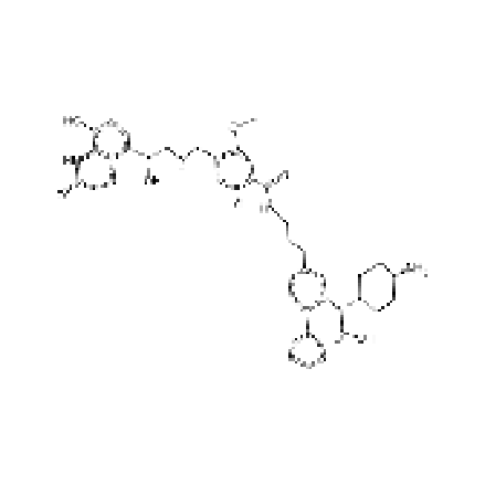 COc1cc(C(=O)NCCCc2ccc(-c3ccccc3)c(N(C(=O)O)[C@H]3CC[C@H](N)CC3)c2)c(Cl)cc1CNC[C@H](O)c1ccc(O)c2[nH]c(=O)ccc12